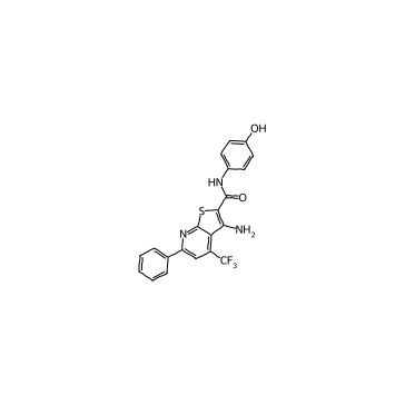 Nc1c(C(=O)Nc2ccc(O)cc2)sc2nc(-c3ccccc3)cc(C(F)(F)F)c12